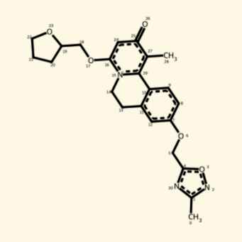 Cc1noc(COc2ccc3c(c2)CCn2c(OCC4CCCO4)cc(=O)c(C)c2-3)n1